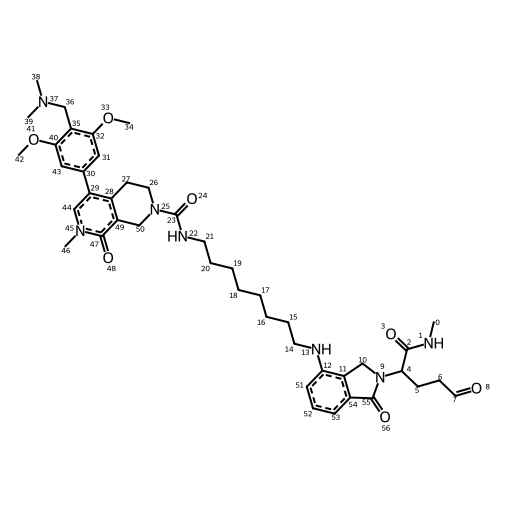 CNC(=O)C(CCC=O)N1Cc2c(NCCCCCCCCNC(=O)N3CCc4c(-c5cc(OC)c(CN(C)C)c(OC)c5)cn(C)c(=O)c4C3)cccc2C1=O